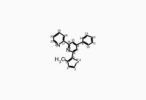 Cc1ccsc1-c1cc(-c2ccccc2)cc(-c2ccccn2)n1